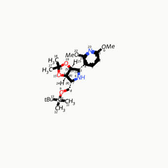 COc1ccc([C@@H]2N[C@H](CO[Si](C)(C)C(C)(C)C)[C@H]3OC(C)(C)O[C@H]32)c(OC)n1